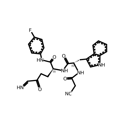 N#CCC(=O)N[C@@H](Cc1c[nH]c2ccccc12)C(=O)N[C@@H](CCC(=O)C=N)C(=O)Nc1ccc(F)cc1